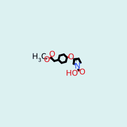 COC(=O)CC1CCC(O[C@H]2CCN(C(=O)O)C2)CC1